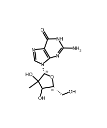 CC1(O)C(O)[C@@H](CO)O[C@H]1n1cnc2c(=O)[nH]c(N)nc21